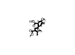 COC(=O)c1cc(-c2cc(F)c(OC)cc2C(=O)O)n(C)c1C